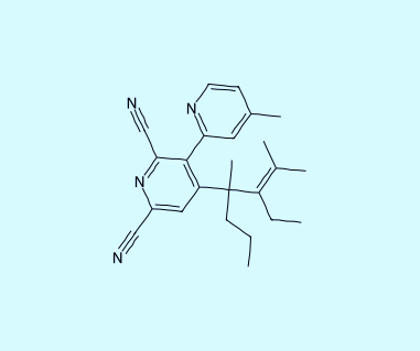 CCCC(C)(C(CC)=C(C)C)c1cc(C#N)nc(C#N)c1-c1cc(C)ccn1